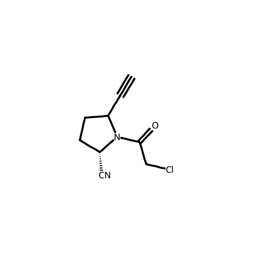 C#CC1CC[C@@H](C#N)N1C(=O)CCl